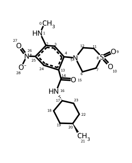 CNc1cc(N2CCS(=O)(=O)CC2)c(C(=O)N[C@H]2CC[C@H](C)CC2)cc1[N+](=O)[O-]